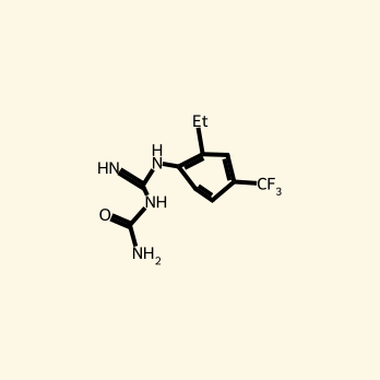 CCc1cc(C(F)(F)F)ccc1NC(=N)NC(N)=O